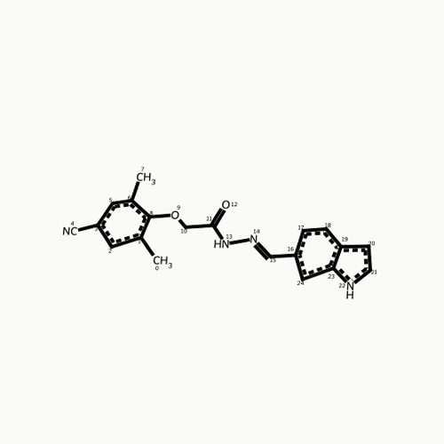 Cc1cc(C#N)cc(C)c1OCC(=O)NN=Cc1ccc2cc[nH]c2c1